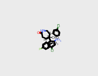 Cc1ccc(F)cc1[C@@H]1CC(=O)NC[C@H](c2cccc(Cl)c2)[C@]1(C=O)c1ccc(Cl)cc1N